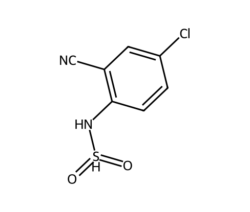 N#Cc1cc(Cl)ccc1N[SH](=O)=O